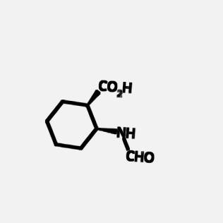 O=CN[C@H]1CCCC[C@H]1C(=O)O